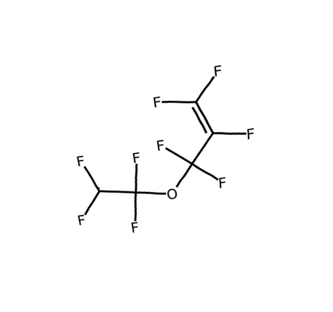 F[C](F)C(F)(F)OC(F)(F)C(F)=C(F)F